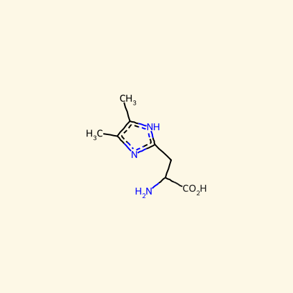 Cc1nc(CC(N)C(=O)O)[nH]c1C